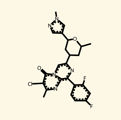 Cc1nc2c(-c3ccc(F)cc3F)nc(C3CC(C)OC(c4cnn(C)c4)C3)cn2c(=O)c1Cl